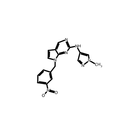 Cn1cc(Nc2ncc3ccn(Cc4cccc([N+](=O)[O-])c4)c3n2)cn1